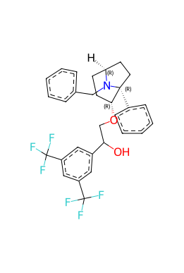 OC(CO[C@@H]1CC[C@H]2CC[C@]1(c1ccccc1)N2Cc1ccccc1)c1cc(C(F)(F)F)cc(C(F)(F)F)c1